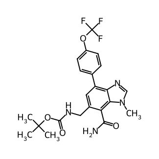 Cn1cnc2c(-c3ccc(OC(F)(F)F)cc3)cc(CNC(=O)OC(C)(C)C)c(C(N)=O)c21